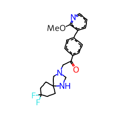 COc1ncccc1-c1ccc(C(=O)CN2CNC3(CCC(F)(F)CC3)C2)cc1